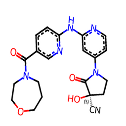 N#C[C@@]1(O)CCN(c2ccnc(Nc3ccc(C(=O)N4CCCOCC4)cn3)c2)C1=O